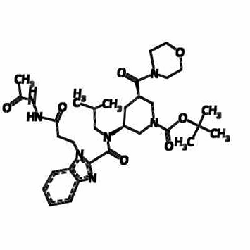 CC(=O)NNC(=O)CCn1c(C(=O)N(CC(C)C)[C@H]2C[C@@H](C(=O)N3CCOCC3)CN(C(=O)OC(C)(C)C)C2)nc2ccccc21